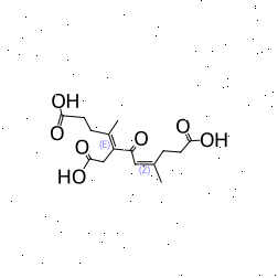 C/C(=C/C(=O)/C(CC(=O)O)=C(\C)CCC(=O)O)CCC(=O)O